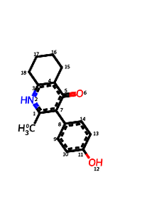 Cc1[nH]c2c(c(=O)c1-c1ccc(O)cc1)CCCC2